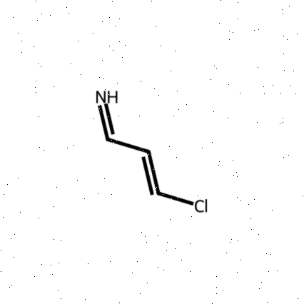 N=CC=CCl